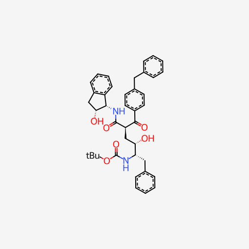 CC(C)(C)OC(=O)N[C@@H](Cc1ccccc1)[C@@H](O)C[C@@H](C(=O)N[C@H]1c2ccccc2C[C@H]1O)C(=O)c1ccc(Cc2ccccc2)cc1